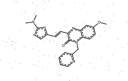 COc1ccc2c(c1)nc(/C=C/c1cnc(N(C)C)s1)c(=O)n2Cc1ccccn1